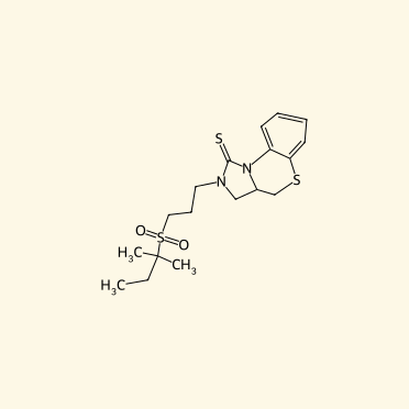 CCC(C)(C)S(=O)(=O)CCCN1CC2CSc3ccccc3N2C1=S